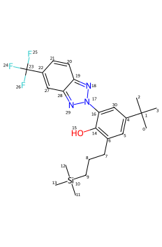 CC(C)(C)c1cc(CCC[Si](C)(C)C)c(O)c(-n2nc3ccc(C(F)(F)F)cc3n2)c1